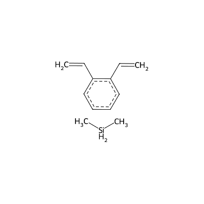 C=Cc1ccccc1C=C.C[SiH2]C